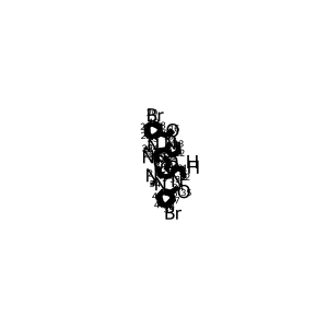 O=C(O)c1ncn2c1[C@]1(CCC[C@@]34CCCN3C(=O)c3cc(Br)ccc3-n3cnc(C(=O)O)c34)CCCN1C(=O)c1cc(Br)ccc1-2